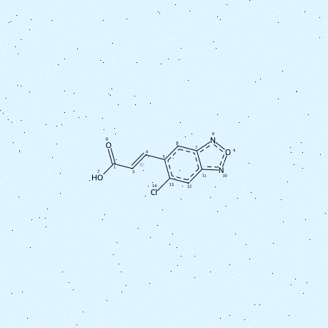 O=C(O)/C=C/c1cc2nonc2cc1Cl